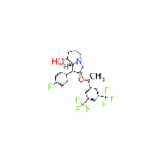 C[C@@H](O[C@H]1CN2CCCC(O)[C@H]2C1c1ccc(F)cc1)c1cc(C(F)(F)F)cc(C(F)(F)F)c1